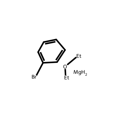 Brc1ccccc1.CCOCC.[MgH2]